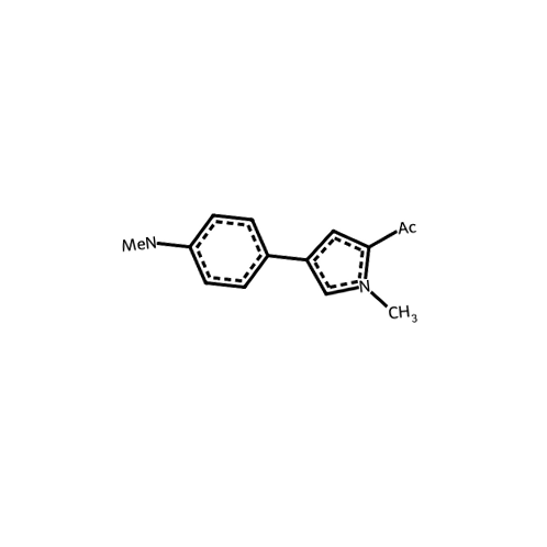 CNc1ccc(-c2cc(C(C)=O)n(C)c2)cc1